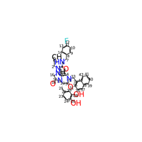 C#CCN(C(=O)NCc1ccc(F)cc1)N1CC(=O)N2[C@@H](Cc3ccc(O)c(O)c3)C(=O)N(Cc3cccc4ccccc34)C[C@@H]21